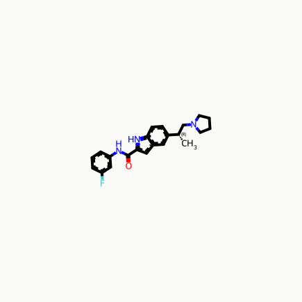 C[C@@H](CN1CCCC1)c1ccc2[nH]c(C(=O)Nc3cccc(F)c3)cc2c1